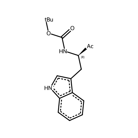 CC(=O)[C@@H](Cc1c[nH]c2ccccc12)NC(=O)OC(C)(C)C